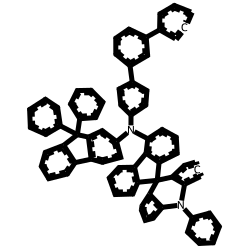 c1ccc(-c2cccc(-c3ccc(N(c4ccc5c(c4)C(c4ccccc4)(c4ccccc4)c4ccccc4-5)c4cccc5c4-c4ccccc4C54c5ccccc5N(c5ccccc5)c5ccccc54)cc3)c2)cc1